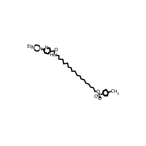 CCN1CCN(c2ccc(C(=O)NCCCCCCCCCCCCCCCCCCOS(=O)(=O)c3ccc(C)cc3)cn2)CC1